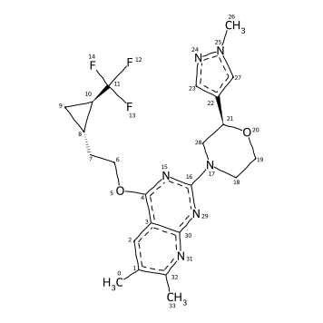 Cc1cc2c(OCC[C@@H]3C[C@H]3C(F)(F)F)nc(N3CCO[C@H](c4cnn(C)c4)C3)nc2nc1C